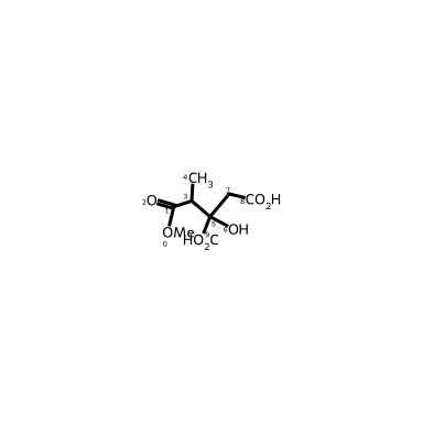 COC(=O)C(C)C(O)(CC(=O)O)C(=O)O